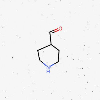 O=[C]C1CCNCC1